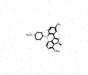 COc1nccc2c(-c3cc(N)ccc3O[C@H]3CC[C@@H](OC)CC3)cn(C)c12